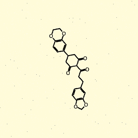 O=C(CCc1ccc2c(c1)OCO2)C1C(=O)CC(c2ccc3c(c2)OCCO3)CC1=O